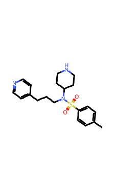 Cc1ccc(S(=O)(=O)N(CCCc2ccncc2)C2CCNCC2)cc1